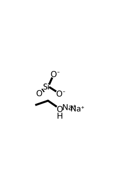 CCO.O=[Si]([O-])[O-].[Na+].[Na+]